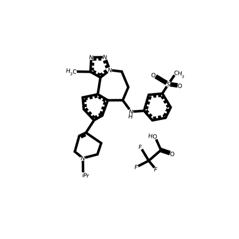 Cc1nnn2c1-c1ccc(C3=CCN(C(C)C)CC3)cc1C(Nc1cccc(S(C)(=O)=O)c1)CC2.O=C(O)C(F)(F)F